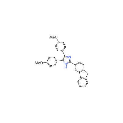 COc1ccc(-c2nc(-c3ccc4c(c3)-c3ccccc3C4)[nH]c2-c2ccc(OC)cc2)cc1